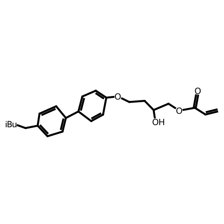 C=CC(=O)OCC(O)CCOc1ccc(-c2ccc(CC(C)CC)cc2)cc1